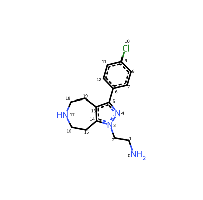 NCCn1nc(-c2ccc(Cl)cc2)c2c1CCNCC2